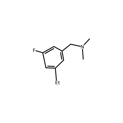 CCc1cc(F)cc(CN(C)C)c1